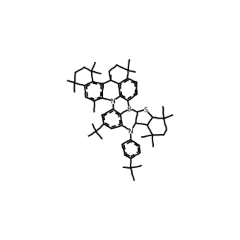 Cc1cc2c(c3c1N1c4cc(C(C)(C)C)cc5c4B(c4ccc6c(c41)C3(C)CCC6(C)C)C1SC3C(C1N5c1ccc(C(C)(C)C)cc1)C(C)(C)CCC3(C)C)C(C)(C)CCC2(C)C